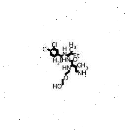 BC(N/C(NC(=O)/C(NCCOCCO)=C(\C)C=N)=C(\C)CC)c1ccc(Cl)c(Cl)c1